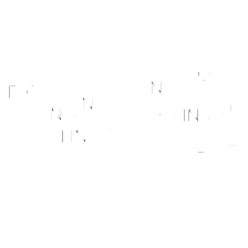 Cc1cc(Nc2nccc(C(F)(F)F)n2)cc(-c2cnc(C3(N[S+]([O-])C(F)F)COC3)s2)c1